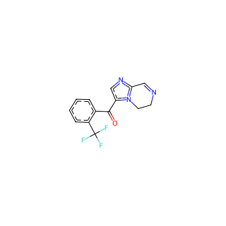 O=C(c1ccccc1C(F)(F)F)c1cnc2n1CCN=C2